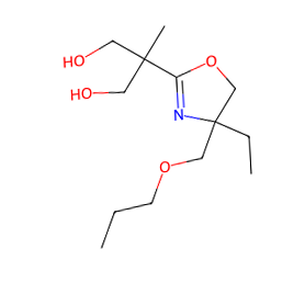 CCCOCC1(CC)COC(C(C)(CO)CO)=N1